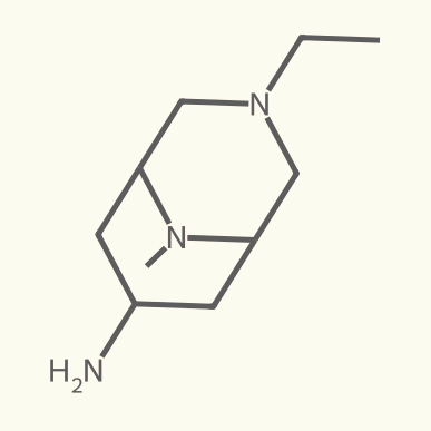 CCN1CC2CC(N)CC(C1)N2C